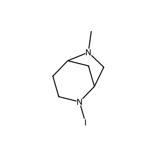 CN1CC2CC1CCN2I